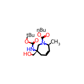 CCCCOC(=O)N1C[C@@](CO)(NC(=O)OC(C)(C)C)CC=C[C@@H]1C